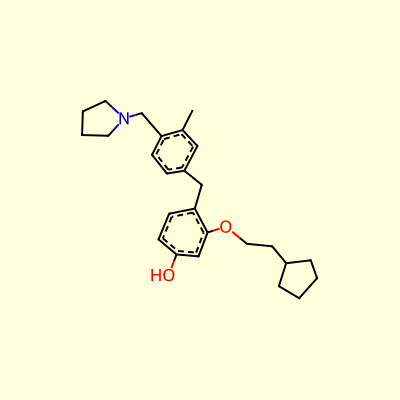 Cc1cc(Cc2ccc(O)cc2OCCC2CCCC2)ccc1CN1CCCC1